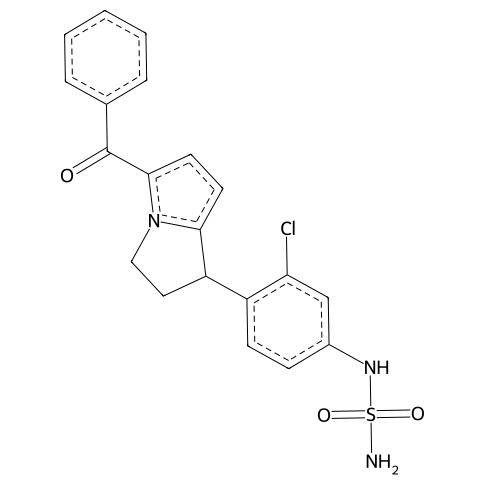 NS(=O)(=O)Nc1ccc(C2CCn3c(C(=O)c4ccccc4)ccc32)c(Cl)c1